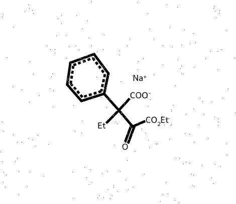 CCOC(=O)C(=O)C(CC)(C(=O)[O-])c1ccccc1.[Na+]